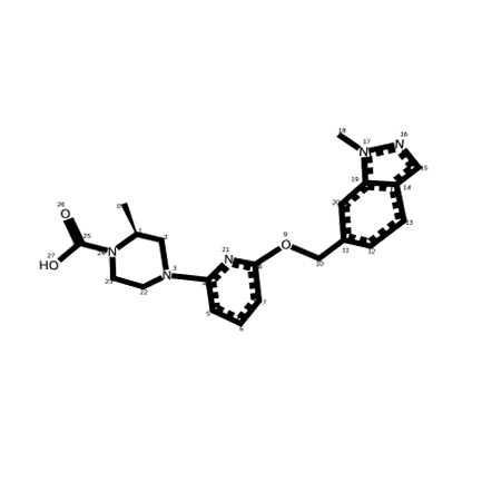 C[C@H]1CN(c2cccc(OCc3ccc4cnn(C)c4c3)n2)CCN1C(=O)O